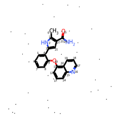 Cc1[nH]c(-c2ccccc2Oc2cccc3ncccc23)cc1C(N)=O